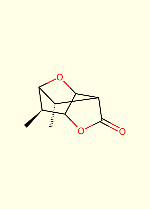 C[C@@H]1C2OC(=O)C3C2OC1[C@H]3C